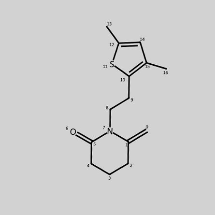 C=C1CCCC(=O)N1CCc1sc(C)cc1C